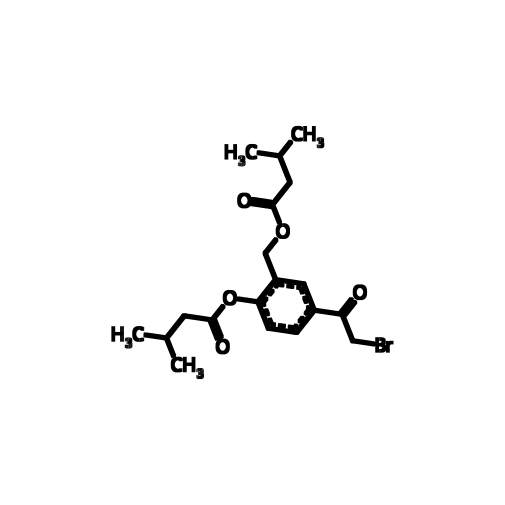 CC(C)CC(=O)OCc1cc(C(=O)CBr)ccc1OC(=O)CC(C)C